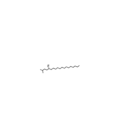 CCCCCCCCCCCCCCC(F)CCC(C)C